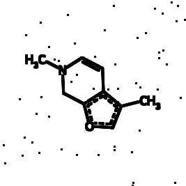 Cc1coc2c1C=CN(C)C2